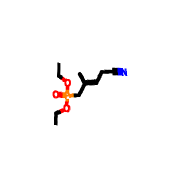 CCOP(=O)(C/C(C)=C/CC#N)OCC